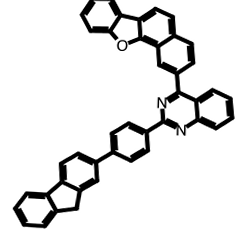 c1ccc2c(c1)Cc1cc(-c3ccc(-c4nc(-c5ccc6ccc7c8ccccc8oc7c6c5)c5ccccc5n4)cc3)ccc1-2